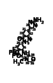 CC(C(=O)Nc1cc(-n2cnc3cc(-c4cnc(N)nc4)ccc3c2=O)ccc1OC(F)(F)F)N1CCOCC1